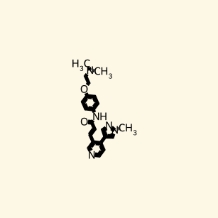 CN(C)CCOc1ccc(NC(=O)C=Cc2cnccc2-c2cnn(C)c2)cc1